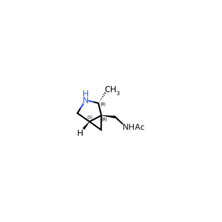 CC(=O)NC[C@@]12C[C@@H]1CN[C@@H]2C